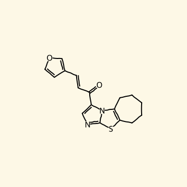 O=C(C=Cc1ccoc1)c1cnc2sc3c(n12)CCCCC3